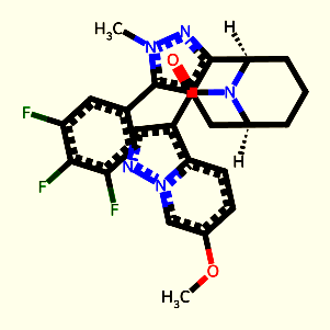 COc1ccc2c(C(=O)N3[C@H]4CCC[C@@H]3c3nn(C)c(-c5cc(F)c(F)c(F)c5)c3C4)cnn2c1